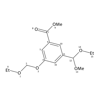 CCOCOc1cc(C(=O)OC)cc(C(OC)OCC)c1